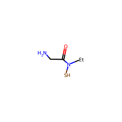 CCN(S)C(=O)CN